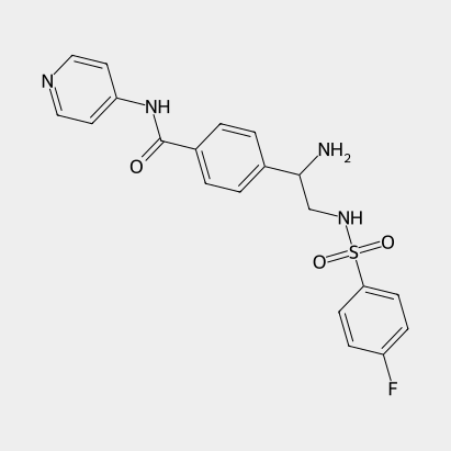 NC(CNS(=O)(=O)c1ccc(F)cc1)c1ccc(C(=O)Nc2ccncc2)cc1